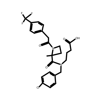 CC1(C(=O)N(CCCC(=O)O)Cc2ccc(Cl)cc2)CCN1C(=O)Cc1ccc(C(F)(F)F)cc1